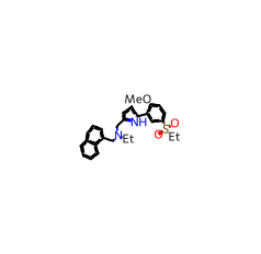 CCN(Cc1ccc(-c2cc(S(=O)(=O)CC)ccc2OC)[nH]1)Cc1cccc2ccccc12